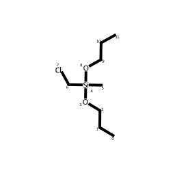 CCCO[Si](C)(CCl)OCCC